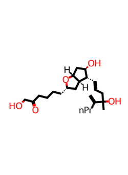 C=C(CCC)C(C)(O)CC=C[C@@H]1[C@H]2C[C@H](CCCCC(=O)CO)O[C@@H]2C[C@H]1O